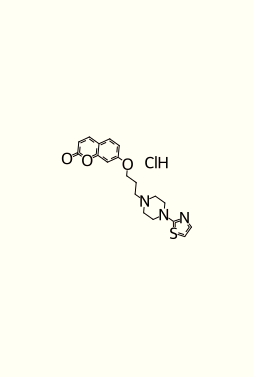 Cl.O=c1ccc2ccc(OCCCN3CCN(c4nccs4)CC3)cc2o1